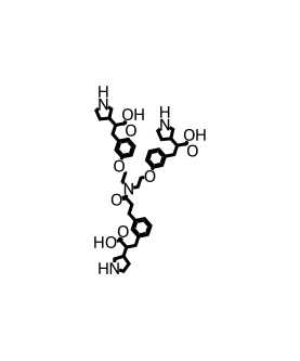 O=C(O)C(Cc1cccc(CCC(=O)N(CCOc2cccc(CC(C(=O)O)C3CCNC3)c2)CCOc2cccc(CC(C(=O)O)C3CCNC3)c2)c1)C1CCNC1